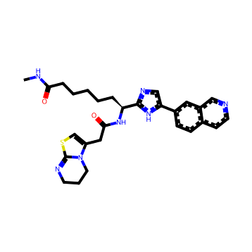 CNC(=O)CCCCC[C@H](NC(=O)CC1=CSC2=NCCCN12)c1ncc(-c2ccc3ccncc3c2)[nH]1